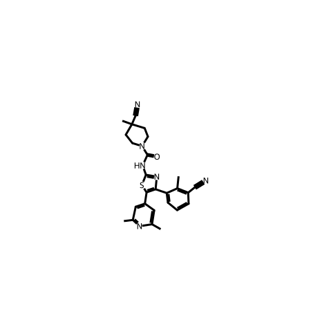 Cc1cc(-c2sc(NC(=O)N3CCC(C)(C#N)CC3)nc2-c2cccc(C#N)c2C)cc(C)n1